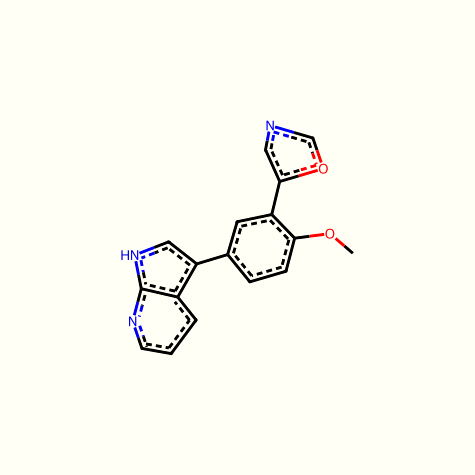 COc1ccc(-c2c[nH]c3ncccc23)cc1-c1cnco1